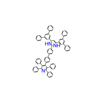 C1=C(c2cc(-c3ccccc3)cc(-c3ccccc3)c2)NC(c2ccc(-c3ccc(-c4c(-c5ccccc5)c(-c5ccccc5)nc(-c5ccccc5)c4-c4ccccc4)cc3)cc2)NC1c1cc(-c2ccccc2)cc(-c2ccccc2)c1